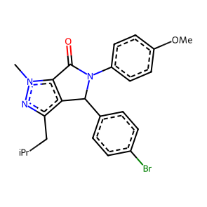 COc1ccc(N2C(=O)c3c(c(CC(C)C)nn3C)C2c2ccc(Br)cc2)cc1